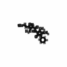 Cc1c(C(=O)Nc2c(C)n(C)n(C3CCCCC3)c2=O)noc1/C=C/C(C)(C)C